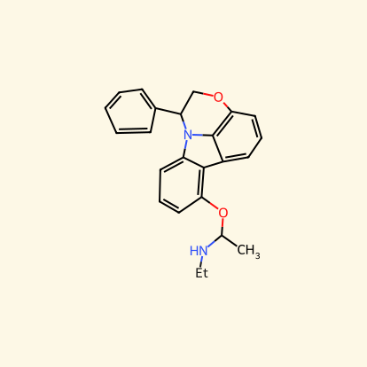 CCNC(C)Oc1cccc2c1c1cccc3c1n2C(c1ccccc1)CO3